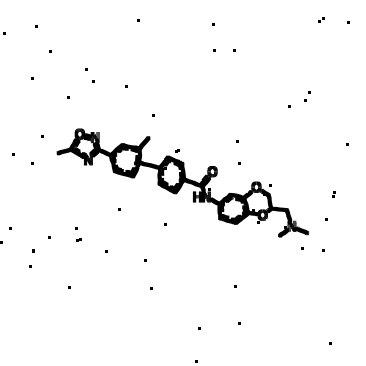 Cc1nc(-c2ccc(-c3ccc(C(=O)Nc4ccc5c(c4)OCC(CN(C)C)O5)cc3)c(C)c2)no1